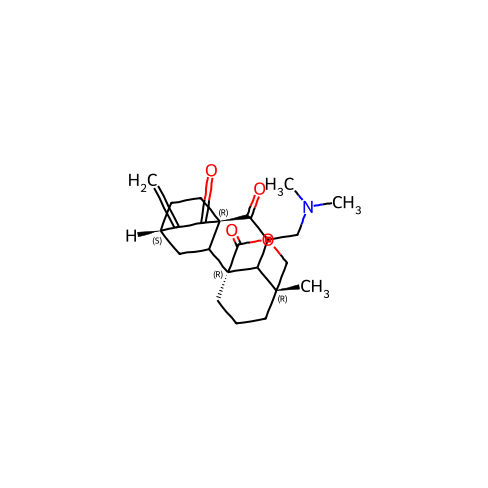 C=C1C(=O)[C@]23CC[C@H]1CC2[C@@]12CCC[C@@](C)(COC1=O)C2C(CN(C)C)C3=O